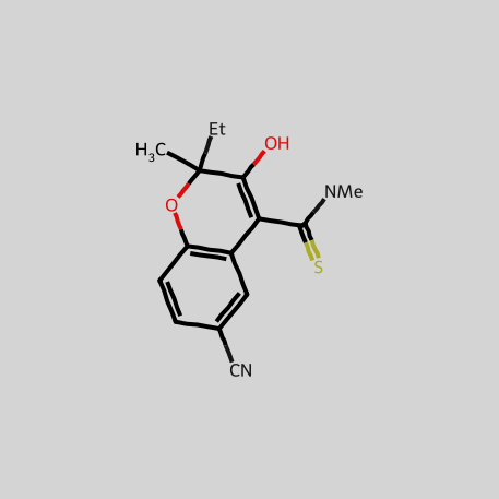 CCC1(C)Oc2ccc(C#N)cc2C(C(=S)NC)=C1O